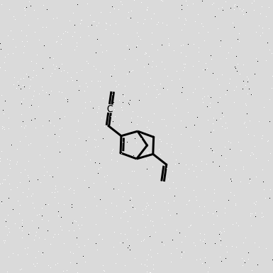 C=C=CC1=CC2CC1CC2C=C